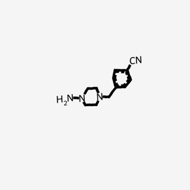 N#Cc1ccc(CN2CCN(N)CC2)cc1